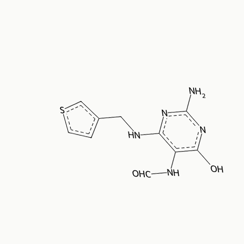 Nc1nc(O)c(NC=O)c(NCc2ccsc2)n1